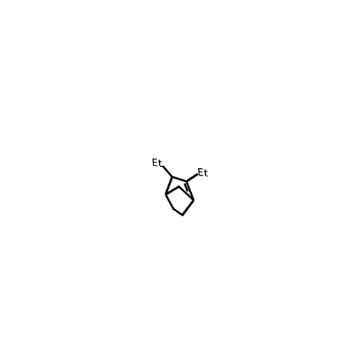 CCC1=C2CCC(C2)C1CC